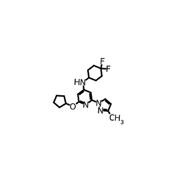 Cc1ccn(-c2cc(NC3CCC(F)(F)CC3)cc(OC3CCCC3)n2)n1